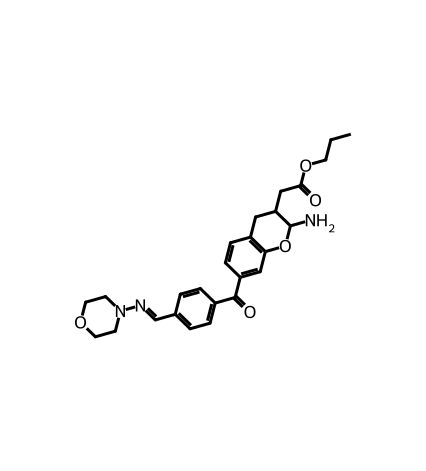 CCCOC(=O)CC1Cc2ccc(C(=O)c3ccc(C=NN4CCOCC4)cc3)cc2OC1N